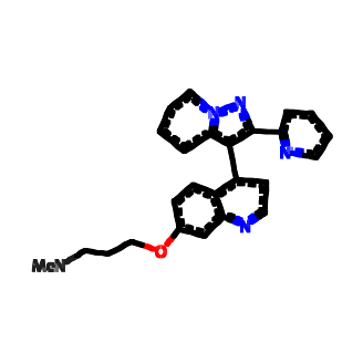 CNCCCOc1ccc2c(-c3c(-c4ccccn4)nn4ccccc34)ccnc2c1